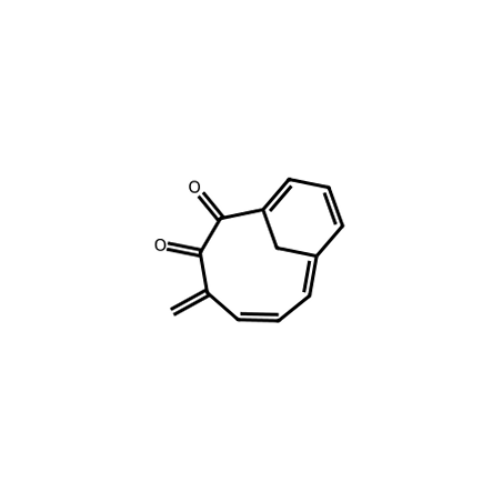 C=C1/C=C\C=C2\C=CC=C(C2)C(=O)C1=O